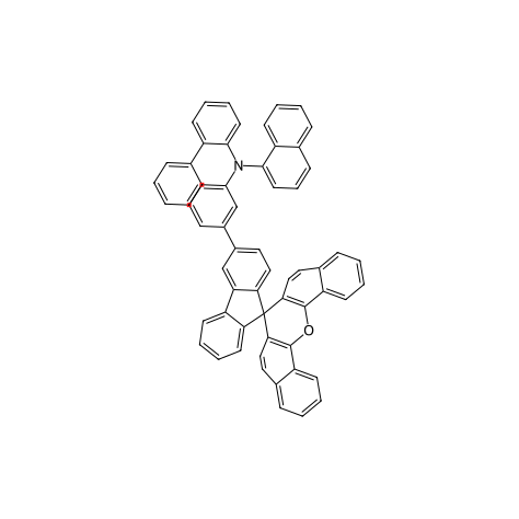 c1ccc(-c2ccccc2N(c2cccc(-c3ccc4c(c3)-c3ccccc3C43c4ccc5ccccc5c4Oc4c3ccc3ccccc43)c2)c2cccc3ccccc23)cc1